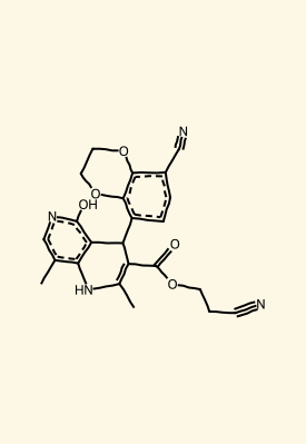 CC1=C(C(=O)OCCC#N)C(c2ccc(C#N)c3c2OCCO3)c2c(O)ncc(C)c2N1